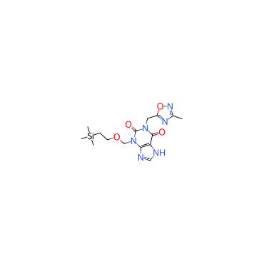 Cc1noc(Cn2c(=O)c3[nH]cnc3n(COCC[Si](C)(C)C)c2=O)n1